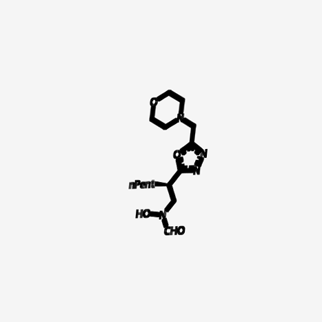 CCCCC[C@H](CN(O)C=O)c1nnc(CN2CCOCC2)o1